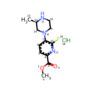 COC(=O)c1ccc(N2CCN[C@H](C)C2)c(F)n1.Cl